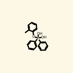 Cc1ccccc1OP(O)(O)(c1ccccc1)c1ccccc1